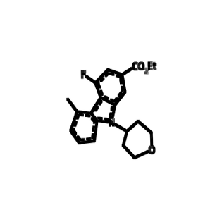 CCOC(=O)c1cc(F)c2c3c(C)cccc3n(C3CCOCC3)c2c1